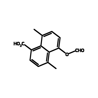 Cc1ccc(C(=O)O)c2c(C)ccc(OC=O)c12